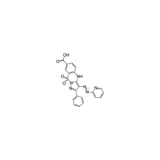 O=C(O)c1ccc2c(c1)S(=O)(=O)n1nc(-c3ccccc3)c(/N=N/c3ccccn3)c1N2